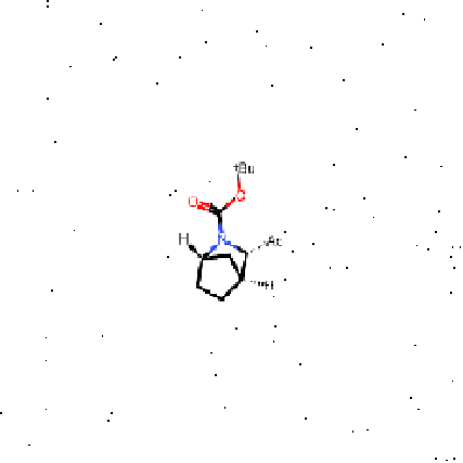 CC(=O)[C@@H]1[C@H]2CC[C@@H](C2)N1C(=O)OC(C)(C)C